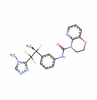 Cn1cnnc1C(F)(F)[C@](C)(F)c1cccc(NC(=O)N2CCOc3cccnc32)c1